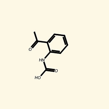 CC(=O)c1ccccc1NC(=O)O